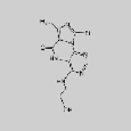 CCc1nc(C)c2c(=O)[nH]c3c(NCCO)ncnc3n12